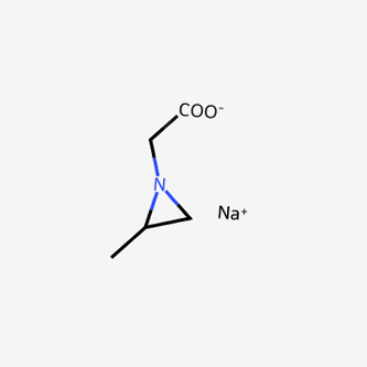 CC1CN1CC(=O)[O-].[Na+]